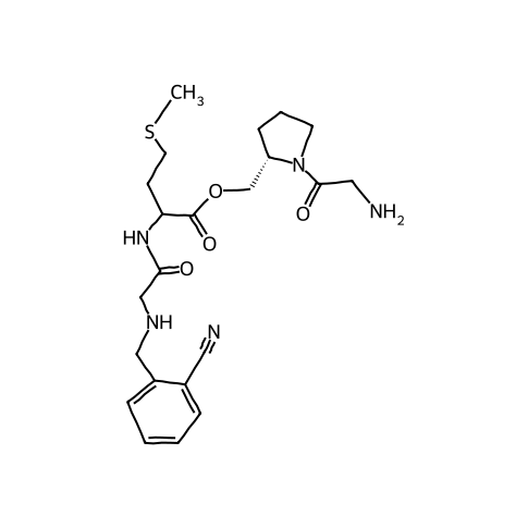 CSCCC(NC(=O)CNCc1ccccc1C#N)C(=O)OC[C@@H]1CCCN1C(=O)CN